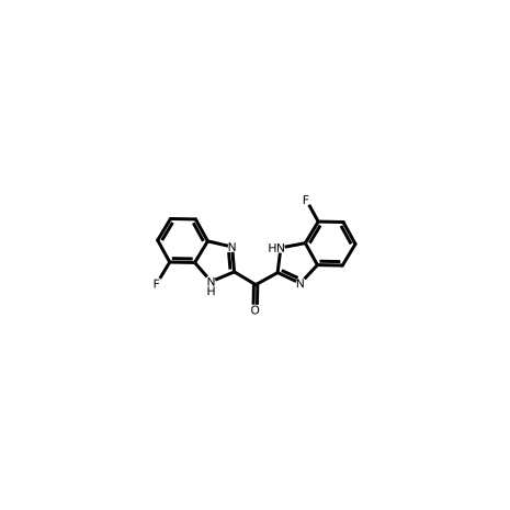 O=C(c1nc2cccc(F)c2[nH]1)c1nc2cccc(F)c2[nH]1